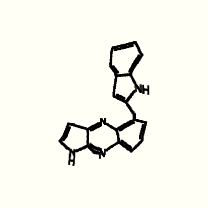 c1ccc2[nH]c(-c3cccc4nc5[nH]ccc5nc34)cc2c1